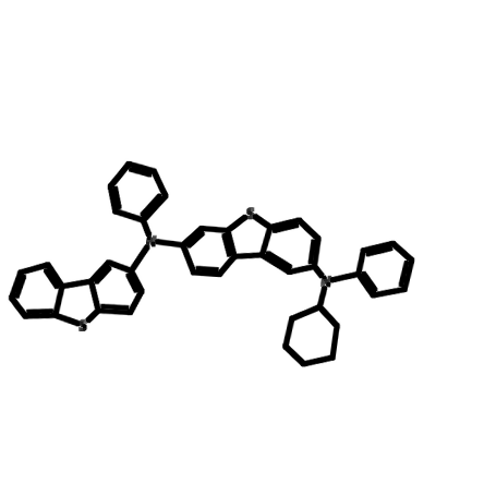 c1ccc(N(c2ccc3c(c2)sc2ccc(N(c4ccccc4)C4CCCCC4)cc23)c2ccc3sc4ccccc4c3c2)cc1